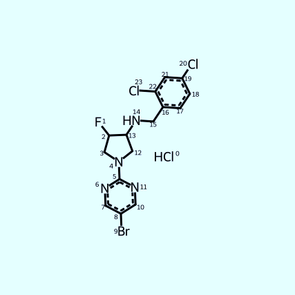 Cl.FC1CN(c2ncc(Br)cn2)CC1NCc1ccc(Cl)cc1Cl